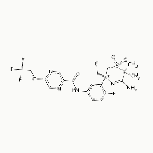 CC1(C)C(N)=N[C@](CF)(c2cc(NC(=O)c3cnc(OCC(F)(F)F)cn3)ccc2F)CS1(=O)=O